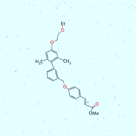 CCOCCOc1cc(C)c(-c2cccc(COc3ccc(/C=C/C(=O)OC)cc3)c2)c(C)c1